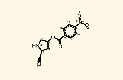 C#CC1CC(OC(=O)c2ccc([N+](=O)[O-])cc2)CN1